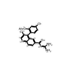 COc1cc(Cl)ccc1-c1c(Cl)cnc2ccc(C(=O)N=C(N)N)cc12